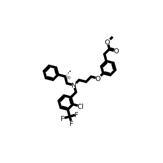 COC(=O)Cc1cccc(OCCCN(Cc2cccc(C(F)(F)F)c2Cl)C[C@@H](C)c2ccccc2)c1